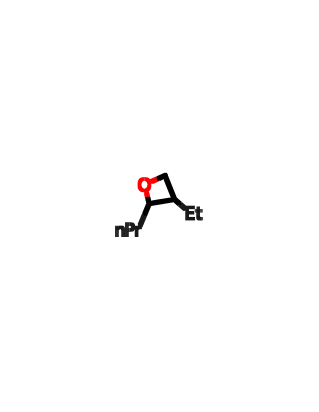 CCCC1OCC1CC